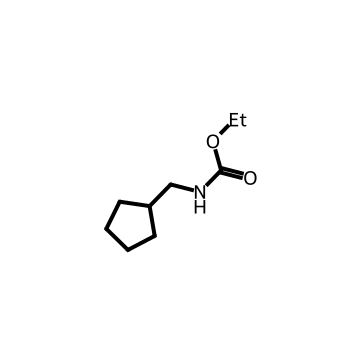 CCOC(=O)NCC1CCCC1